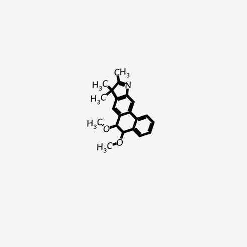 COC1c2ccccc2-c2cc3c(cc2C1OC)C(C)(C)C(C)=N3